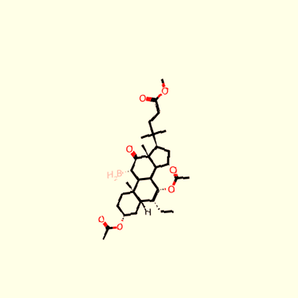 B[C@@H]1C(=O)[C@@]2(C)C(CC[C@@H]2C(C)(C)CCC(=O)OC)C2C1[C@@]1(C)CC[C@@H](OC(C)=O)C[C@H]1[C@@H](CC)[C@H]2OC(C)=O